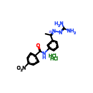 C/C(=N/N=C(N)N)c1cccc(NC(=O)c2ccc([N+](=O)[O-])cc2)c1.Cl.Cl